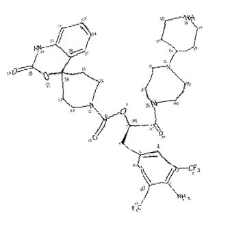 Nc1c(C(F)(F)F)cc(C[C@@H](OC(=O)N2CCC3(CC2)OC(=O)Nc2ccccc23)C(=O)N2CCN(C3CCNCC3)CC2)cc1C(F)(F)F